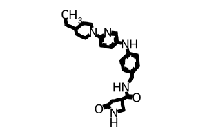 CCC1CCN(c2ccc(Nc3ccc(CNC(=O)C4CNC(=O)C4)cc3)cn2)CC1